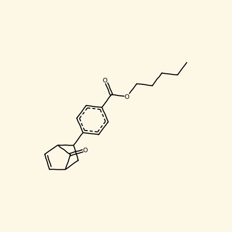 CCCCCOC(=O)c1ccc(C2CC3C=CC2C3=O)cc1